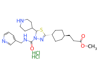 COC(=O)CC[C@H]1CC[C@H](C2=NN(C(=O)NCc3cccnc3)C(C3CCNCC3)S2)CC1.Cl.Cl